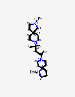 CCN1CCCC12CCN(C(C)CC(C)(C)N1CCC3(CCN(C(C)C)C3)CC1)CC2